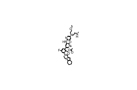 CCOCCN(CCNC)c1ccc(Nc2cc(-c3cc(F)cc(N4CCn5c(cc6c5CCCC6)C4=O)c3COC(C)=O)cn(C)c2=O)nc1